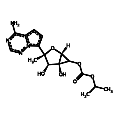 CC(C)OC(=O)OC1[C@H]2O[C@@](C)(c3ccc4c(N)ncnn34)[C@H](O)[C@@]12O